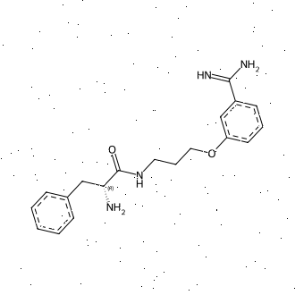 N=C(N)c1cccc(OCCCNC(=O)[C@H](N)Cc2ccccc2)c1